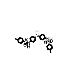 Cc1ccc(S(=O)(=O)Nc2ccc(Nc3ccc(NS(=O)(=O)c4ccc(C)cc4)cc3)cc2)cc1